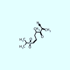 C=C(C#N)C(=O)C(C)C/C=C\S(=O)(=O)C(C)C